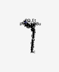 CCOC(=O)/C(C)=C/C(C(C)C)N(C)C(=O)C(NC(=O)C(N(C)C(=O)OC(C)(C)C)C(C)(C)c1ccc(OCCOCCOCCOCCOCCSC(C)=O)cc1)C(C)(C)C